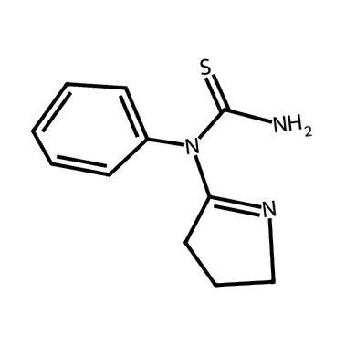 NC(=S)N(C1=NCCC1)c1ccccc1